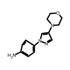 Nc1ccc(-n2cc(N3CCOCC3)cn2)cc1